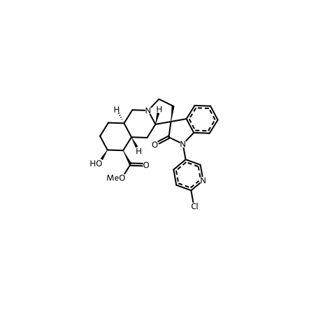 COC(=O)[C@@H]1[C@H]2C[C@@H]3N(CC[C@@]34C(=O)N(c3ccc(Cl)nc3)c3ccccc34)C[C@@H]2CC[C@@H]1O